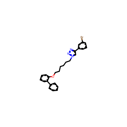 Brc1cccc(-c2cn(CCCCCCOc3ccccc3-c3ccccc3)nn2)c1